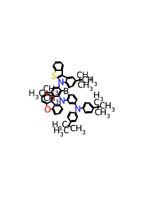 CC(C)(C)c1ccc(N(c2ccc(C(C)(C)C)cc2)c2ccc3c(c2)N(c2cccc4oc5ccccc5c24)c2cc(C(C)(C)C)cc4c2B3c2cc(C(C)(C)C)cc3c5c6ccccc6sc5n-4c23)cc1